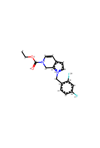 CCOC(=O)N1C=Cc2ccn(Cc3ccc(F)cc3F)c2C1